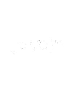 CSc1cc(NC(=O)c2cc(Br)c(S(N)(=O)=O)cn2)cs1